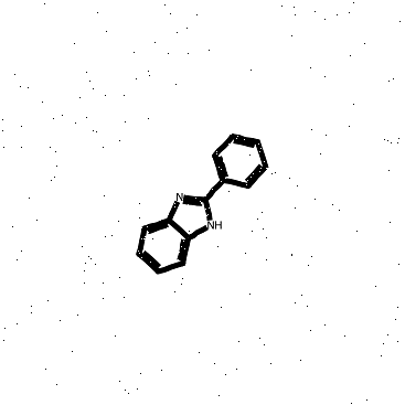 [c]1cccc(-c2nc3ccccc3[nH]2)c1